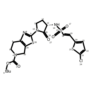 CC(C)(C)OC(=O)N1CCc2nc(N3CC[C@H](NS(=O)(=O)/C=C/c4ccc(Cl)s4)C3=O)sc2C1